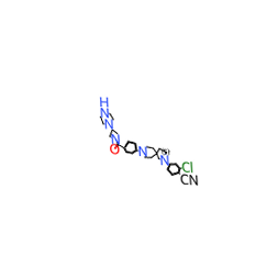 C[C@H]1CC2(CCN(c3ccc(C(=O)N4CC(N5CCNCC5)C4)cc3)CC2)CN1c1ccc(C#N)c(Cl)c1